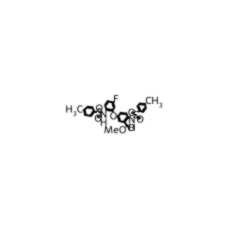 COC(=O)c1cc(Oc2cc(F)ccc2NS(=O)(=O)c2ccc(C)cc2)ccc1NS(=O)(=O)c1ccc(C)cc1